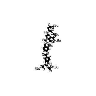 CC(C)(C)OC(=O)CC(NC(=O)CN(C(=O)OCc1ccc(OC(=O)c2ccc(NC(=NC(=O)OC(C)(C)C)NC(=O)OC(C)(C)C)cc2)cc1)C(CC(=O)OC(C)(C)C)C(=O)OC(C)(C)C)C(=O)OC(C)(C)C